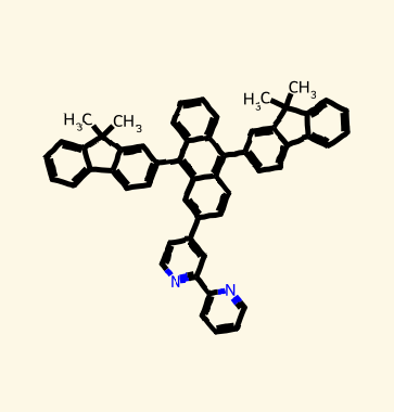 CC1(C)c2ccccc2-c2ccc(-c3c4ccccc4c(-c4ccc5c(c4)C(C)(C)c4ccccc4-5)c4cc(-c5ccnc(-c6ccccn6)c5)ccc34)cc21